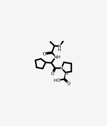 CNC(C)C(=O)NC(C(=O)N1CCC[C@H]1C(=O)O)C1CCCC1